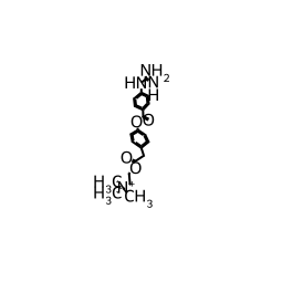 C[N+](C)(C)CCOC(=O)Cc1ccc(OC(=O)c2ccc(NC(=N)N)cc2)cc1